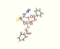 [N-]=[N+]=N[C@H]1C(OC(=O)c2ccccc2)[C@@H](O)C(COC(=O)c2ccccc2)O[C@H]1S